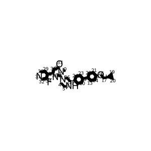 Cn1c(N2CCN[C@@H](c3ccc(-c4ccc(OCC5CC5)cc4)cc3)C2)nc(-c2ccncc2F)cc1=O